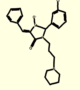 O=C1/C(=C/c2ccccc2)[S+]([O-])C(c2cccc(Cl)c2)N1CCCN1CCCCC1